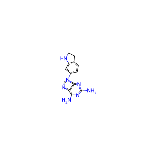 Nc1nc(N)c2ncn(-c3ccc4c(c3)NCC4)c2n1